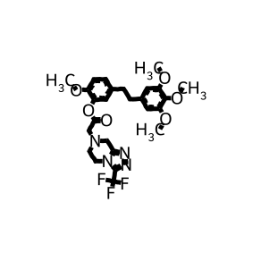 COc1ccc(CCc2cc(OC)c(OC)c(OC)c2)cc1OC(=O)CN1CCn2c(nnc2C(F)(F)F)C1